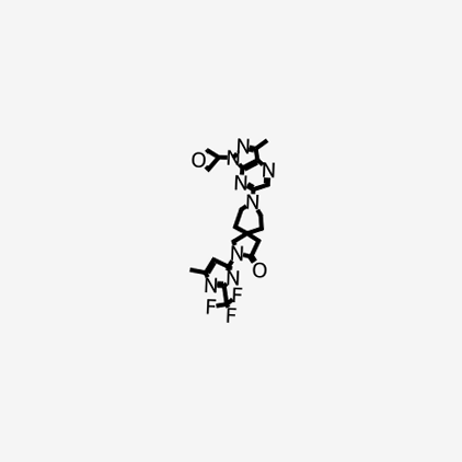 Cc1cc(N2CC3(CCN(c4cnc5c(C)nn(C6COC6)c5n4)CC3)CC2=O)nc(C(F)(F)F)n1